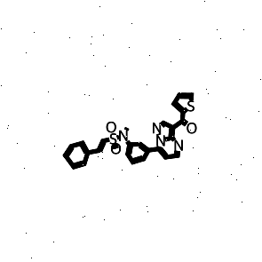 CN(c1cccc(-c2ccnc3c(C(=O)c4cccs4)cnn23)c1)S(=O)(=O)C=Cc1ccccc1